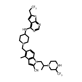 Cc1c(CN2CCC(Nc3ncnc4sc(CC(F)(F)F)cc34)CC2)ccc2c1cc(C#N)n2CC(C)N1CCNC(C(F)(F)F)C1